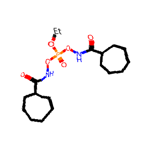 CCOP(=O)(ONC(=O)C1CCCCCC1)ONC(=O)C1CCCCCC1